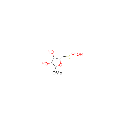 COC1OC(CSOO)C(O)C1O